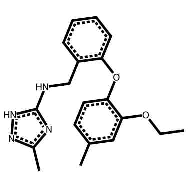 CCOc1cc(C)ccc1Oc1ccccc1CNc1nc(C)n[nH]1